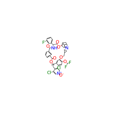 O=C(NC(C(=O)OC1CN2CCC1CC2)c1cccc(F)c1)c1cccc(C(=O)O[C@@H](Cc2c(Cl)c[n+]([O-])cc2Cl)c2ccc(OC(F)F)c(OCC3CC3)c2)c1